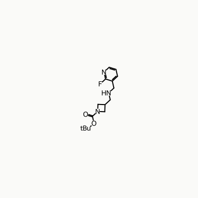 CC(C)(C)OC(=O)N1CC(CNCc2cccnc2F)C1